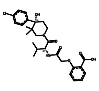 CC(C)[C@@H](NC(=O)COc1ccccc1C(=O)O)C(=O)N1CC[C@](O)(c2ccc(Cl)cc2)C(C)(C)C1